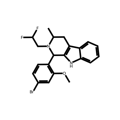 COc1cc(Br)ccc1C1c2[nH]c3ccccc3c2CC(C)N1CC(F)F